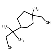 CC1(CO)CCC(C(C)(C)CO)CC1